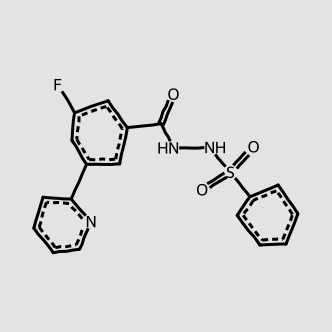 O=C(NNS(=O)(=O)c1ccccc1)c1cc(F)cc(-c2ccccn2)c1